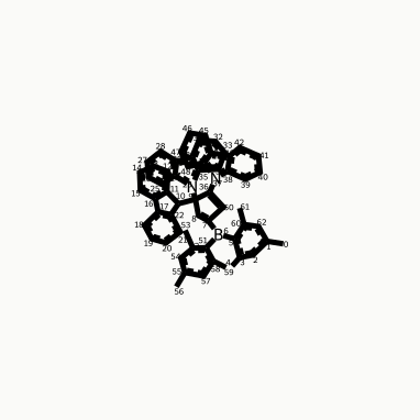 Cc1cc(C)c(B(C2=CC(C3c4ccccc4-c4ccccc43)(n3c4ccccc4c4ccccc43)C(n3c4ccccc4c4ccccc43)=C2)c2c(C)cc(C)cc2C)c(C)c1